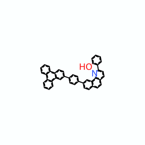 Oc1ccccc1-c1ccc2ccc3ccc(-c4ccc(-c5ccc6c7ccccc7c7ccccc7c6c5)cc4)cc3c2n1